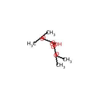 CCCCCCCCC(CCCCCCCC)OC(=O)CCCCCCCCC(=O)O[C@H](CO)COC(=O)CCCCCCC(=O)OC(CCCCCCCC)CCCCCCCC